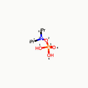 CC(C)N(OP(=O)(O)O)C(C)C